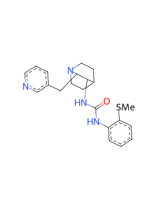 CSc1ccccc1NC(=O)NC1C2CCN(CC2)C1Cc1cccnc1